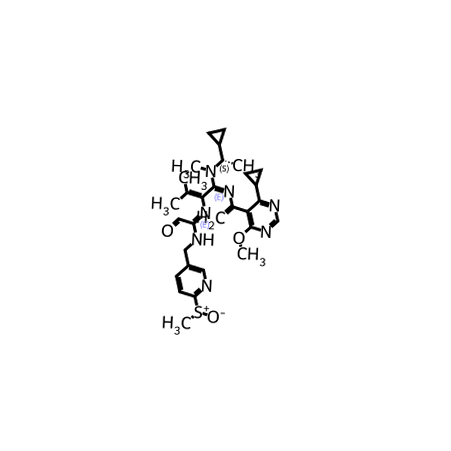 C=C(/N=C(\C(/N=C(\C=O)NCc1ccc([S+](C)[O-])nc1)=C(C)C)N(C)[C@@H](C)C1CC1)c1c(OC)ncnc1C1CC1